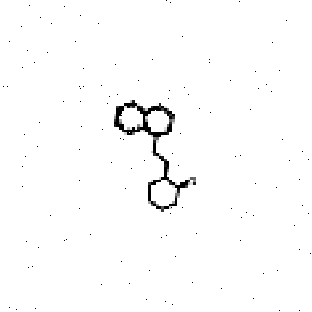 O=C1CCCCC1CCc1cccc2ccccc12